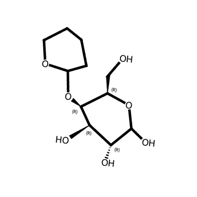 OC[C@H]1OC(O)[C@H](O)[C@@H](O)[C@H]1OC1CCCCO1